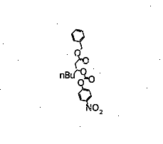 CCCCC(CC(=O)OCc1ccccc1)OC(=O)Oc1ccc([N+](=O)[O-])cc1